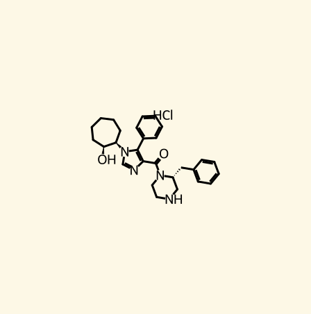 Cl.O=C(c1ncn([C@@H]2CCCCC[C@@H]2O)c1-c1ccccc1)N1CCNC[C@H]1Cc1ccccc1